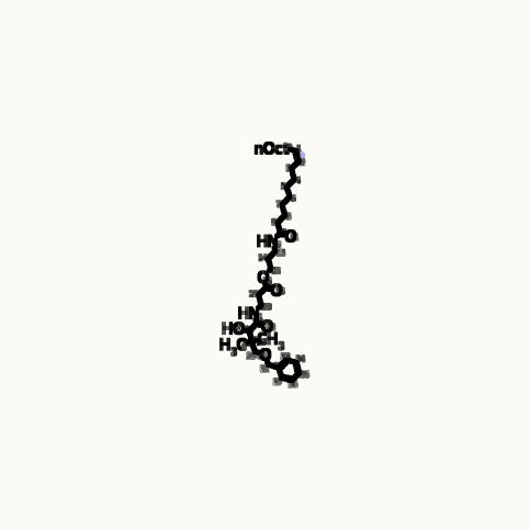 CCCCCCCC/C=C\CCCCCCCC(=O)NCCCOC(=O)CCNC(=O)C(O)C(C)(C)COCc1ccccc1